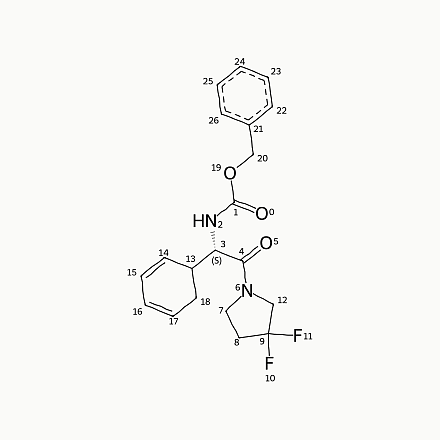 O=C(N[C@H](C(=O)N1CCC(F)(F)C1)C1C=CC=CC1)OCc1ccccc1